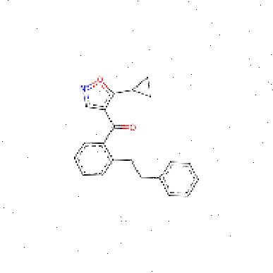 O=C(c1ccccc1CCc1ccccc1)c1cnoc1C1CC1